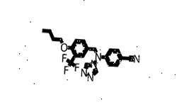 CCCCOc1ccc(CN(c2ccc(C#N)cc2)n2cnnc2)cc1C(F)(F)F